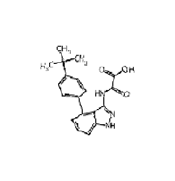 CC(C)(C)c1ccc(-c2cccc3[nH]nc(NC(=O)C(=O)O)c23)cc1